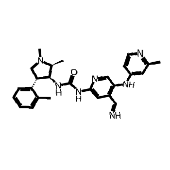 Cc1cc(Nc2cnc(NC(=O)N[C@H]3[C@H](c4ccccc4C)CN(C)[C@H]3C)cc2C=N)ccn1